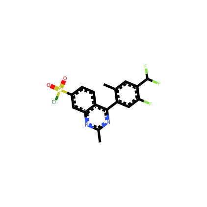 Cc1nc(-c2cc(F)c(C(F)F)cc2C)c2ccc(S(=O)(=O)Cl)cc2n1